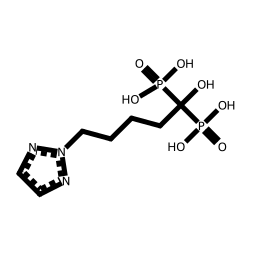 O=P(O)(O)C(O)(CCCCn1nccn1)P(=O)(O)O